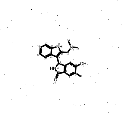 Cc1cc2c(cc1O)C(c1c(CN(C)C)[nH]c3ccccc13)NC2=O